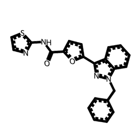 O=C(Nc1nccs1)c1ccc(-c2nn(Cc3ccccc3)c3ccccc23)o1